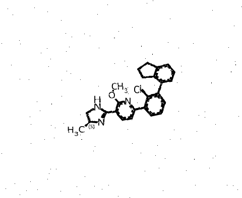 COc1nc(-c2cccc(-c3cccc4c3CCC4)c2Cl)ccc1C1=N[C@@H](C)CN1